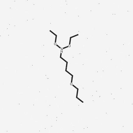 CCCOCCCC[SiH](OCC)OCC